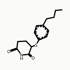 CCCCc1ccc(SC2CCC(=O)NC2=O)cc1